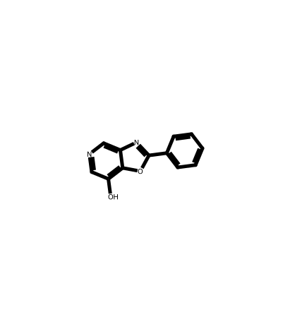 Oc1cncc2nc(-c3ccccc3)oc12